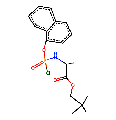 C[C@@H](NP(=O)(Cl)Oc1cccc2ccccc12)C(=O)OCC(C)(C)C